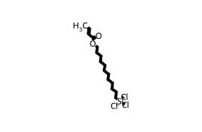 CC=CC(=O)OCCCCCCCCCCCC[Si](Cl)(Cl)Cl